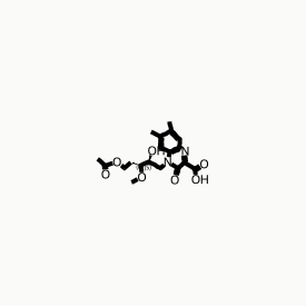 CO[C@H](CCOC(C)=O)[C@@H](O)Cn1c(=O)c(C(=O)O)nc2cc(C)c(C)cc21